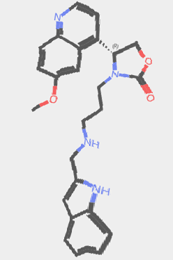 COc1ccc2nccc([C@@H]3COC(=O)N3CCCNCc3cc4ccccc4[nH]3)c2c1